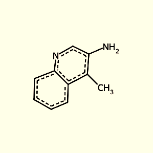 Cc1c(N)cnc2ccccc12